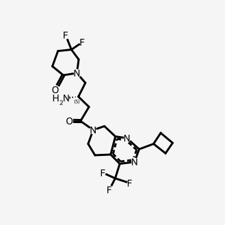 N[C@@H](CC(=O)N1CCc2c(nc(C3CCC3)nc2C(F)(F)F)C1)CN1CC(F)(F)CCC1=O